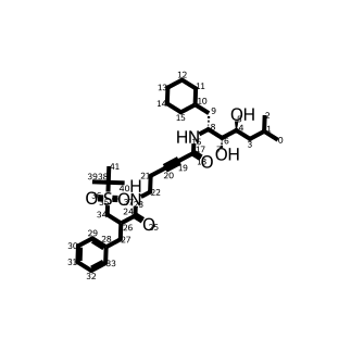 CC(C)C[C@H](O)[C@H](O)[C@@H](CC1CCCCC1)NC(=O)C#CCCNC(=O)C(Cc1ccccc1)CS(=O)(=O)C(C)(C)C